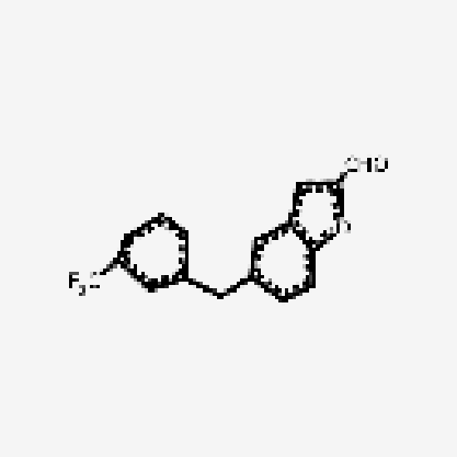 O=Cc1cc2cc(Cc3cccc(C(F)(F)F)c3)ccc2o1